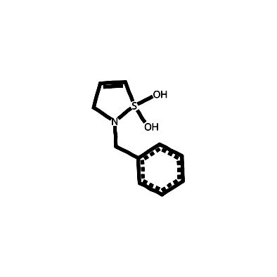 OS1(O)C=CCN1Cc1ccccc1